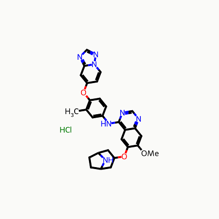 COc1cc2ncnc(Nc3ccc(Oc4ccn5ncnc5c4)c(C)c3)c2cc1OC1CC2CCC(C1)N2.Cl